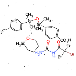 C1CC[SiH2]OC1.CCC(Br)(CC)C(=O)NC(N)=O.C[Si](C)(O[Si](C)(C)c1ccc(C(=O)O)cc1)c1ccc(C(=O)O)cc1